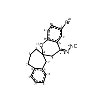 [C-]#[N+]/N=C1/CC2(CCCc3ccccc3C2)Oc2ccc(Br)cc21